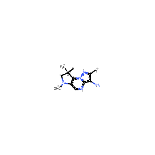 CCc1nn2c3c(cnc2c1N)N(C=O)C[C@@]3(C)C(F)(F)F